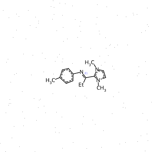 CC/C(=N\c1ccc(C)cc1)c1n(C)cc[n+]1C